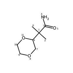 CC(C)(C(N)=O)C1COCCO1